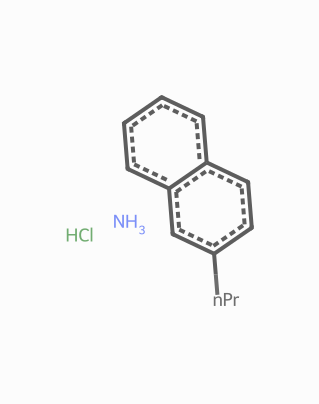 CCCc1ccc2ccccc2c1.Cl.N